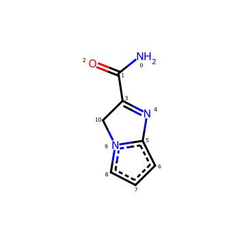 NC(=O)C1=Nc2cccn2C1